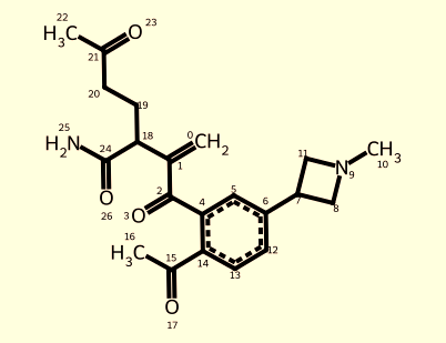 C=C(C(=O)c1cc(C2CN(C)C2)ccc1C(C)=O)C(CCC(C)=O)C(N)=O